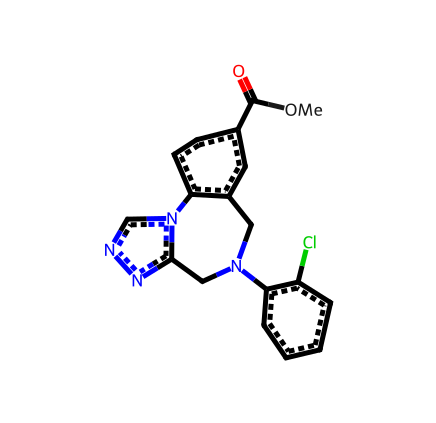 COC(=O)c1ccc2c(c1)CN(c1ccccc1Cl)Cc1nncn1-2